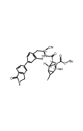 CC1C2C1[C@@H]1C[C@H]2[C@@H](C(=O)N[C@H](C#N)Cc2ccc(-c3ccc4c(c3)CN(C)C4=O)cc2F)N1C(=O)OC(C)(C)C